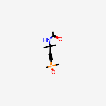 CC(=O)NC(C)(C)C#CP(C)(C)=O